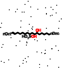 CCCCCCCCC=CCCCCCCCCC(O)CCCCCCCCCCCCCCC.O=S(=O)(O)O